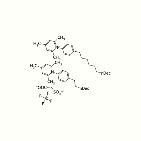 CCCCCCCCCCCCCCCCc1ccc(-[n+]2c(C)cc(C)cc2C)cc1.CCCCCCCCCCCCc1ccc(-[n+]2c(C)cc(C)cc2C)cc1.F[B-](F)(F)F.O=C([O-])CS(=O)(=O)O